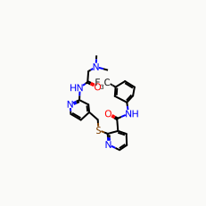 CN(C)CC(=O)Nc1cc(CSc2ncccc2C(=O)Nc2cccc(C(F)(F)F)c2)ccn1